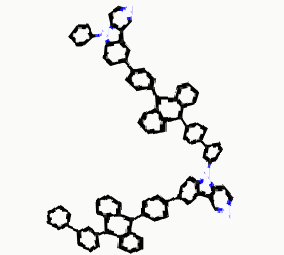 c1ccc(-c2cccc(-c3c4ccccc4c(-c4ccc(-c5ccc6c(c5)c5cnccc5n6-c5cccc(-c6ccc(-c7c8ccccc8c(-c8ccc(-c9ccc%10c(c9)c9cnccc9n%10-c9ccccc9)cc8)c8ccccc78)cc6)c5)cc4)c4ccccc34)c2)cc1